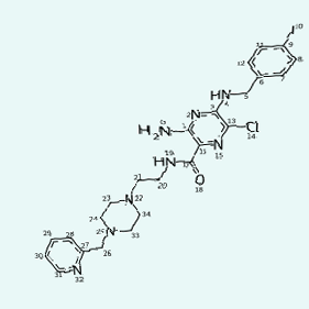 Nc1nc(NCc2ccc(I)cc2)c(Cl)nc1C(=O)NCCN1CCN(Cc2ccccn2)CC1